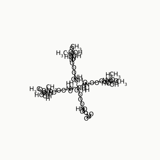 CCC[C@H]1O[C@H](COC)[C@H](O)[C@H](O)[C@H]1Nc1nccc(OCCOCCOCCNC(=O)NCCCC(CCCNC(=O)NCCOCCOCCOc2ccnc(N[C@@H]3[C@@H](O)[C@@H](O)[C@@H](COC)O[C@@H]3CCC)n2)(CCCNC(=O)NCCOCCOCCOc2ccnc(N[C@@H]3[C@@H](O)[C@@H](O)[C@@H](COC)O[C@@H]3CCC)n2)NC(=O)C=COCCOCCOCCNS(=O)(=O)c2ccc(N3C(=O)C=CC3=O)cc2)n1